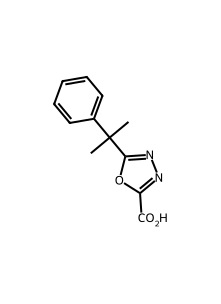 CC(C)(c1ccccc1)c1nnc(C(=O)O)o1